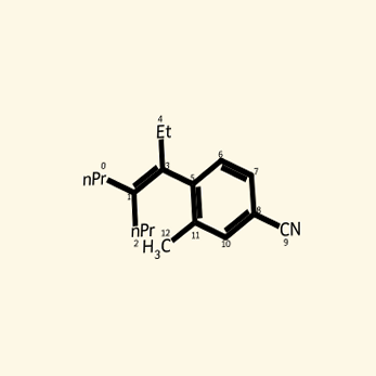 CCCC(CCC)=C(CC)c1ccc(C#N)cc1C